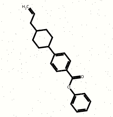 C=CCC1CCC(c2ccc(C(=O)Oc3ccccc3)cc2)CC1